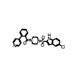 O=C(c1ccccc1-c1ccncc1)N1CCN(S(=O)(=O)c2cc3cc(Cl)ccc3[nH]2)CC1